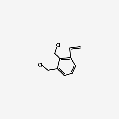 C=Cc1cccc(CCl)c1CCl